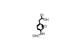 CCC(O)Cc1ccc(NC=O)cc1.Cl